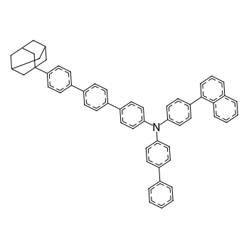 c1ccc(-c2ccc(N(c3ccc(-c4ccc(-c5ccc(C67CC8CC(CC(C8)C6)C7)cc5)cc4)cc3)c3ccc(-c4cccc5ccccc45)cc3)cc2)cc1